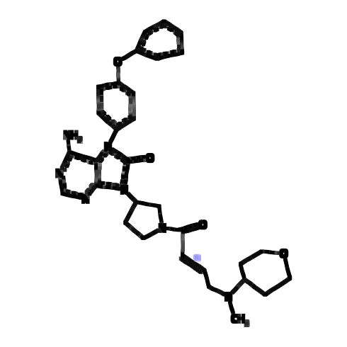 CN(C/C=C/C(=O)N1CCC(n2c(=O)n(-c3ccc(Oc4ccccc4)cc3)c3c(N)ncnc32)C1)C1CCOCC1